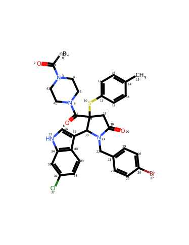 CCCCC(=O)N1CCN(C(=O)C2(Sc3ccc(C)cc3)CC(=O)N(Cc3ccc(Br)cc3)C2c2c[nH]c3cc(Cl)ccc23)CC1